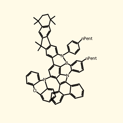 CCCCCc1ccc(N2B3c4cc(CCCCC)ccc4-n4c5c3c(cc(N3c6ccccc6Oc6ccccc63)c5c3c5ccccc5c5ccccc5c34)-c3cc4c(cc32)-c2cc3c(cc2C4(C)C)C(C)(C)CCC3(C)C)cc1